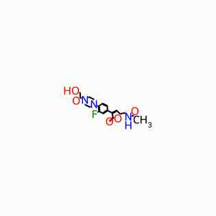 CC(=O)NCC1C=C(c2ccc(N3CCN(C(=O)CO)CC3)c(F)c2)C(=O)O1